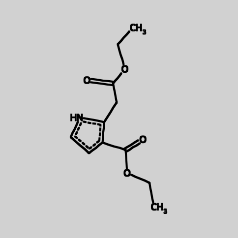 CCOC(=O)Cc1[nH]ccc1C(=O)OCC